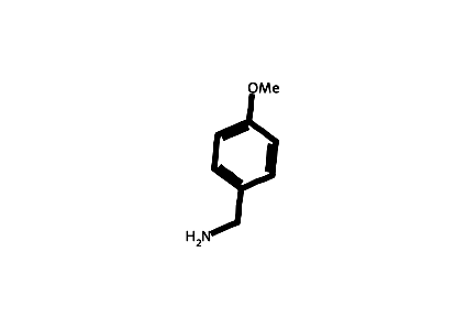 [CH2]Oc1ccc(CN)cc1